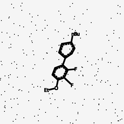 CCCCc1ccc(-c2ccc(OCC)c(F)c2F)cc1